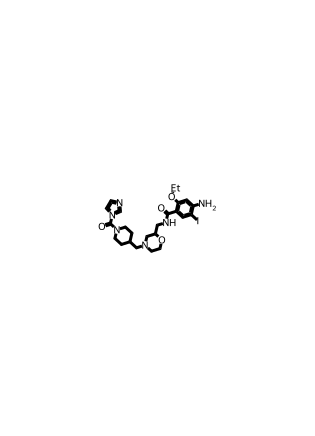 CCOc1cc(N)c(I)cc1C(=O)NCC1CN(CC2CCN(C(=O)n3ccnc3)CC2)CCO1